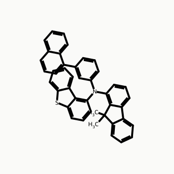 CC1(C)c2ccccc2-c2cccc(N(c3cccc(-c4cccc5ccccc45)c3)c3cccc4sc5ccccc5c34)c21